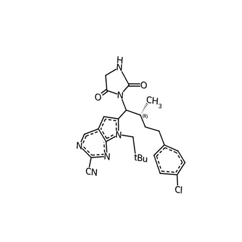 C[C@H](CCc1ccc(Cl)cc1)C(c1cc2cnc(C#N)nc2n1CC(C)(C)C)N1C(=O)CNC1=O